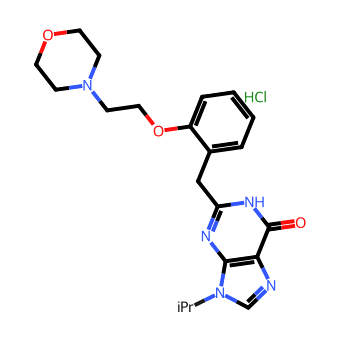 CC(C)n1cnc2c(=O)[nH]c(Cc3ccccc3OCCN3CCOCC3)nc21.Cl